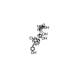 O=P(O)(O)CP(=O)(O)OC[C@H]1O[C@@H](c2cnc3c(NCC4CCC(O)CC4)nc(Cl)nn23)C(O)C1O